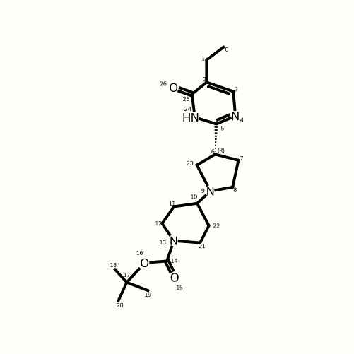 CCc1cnc([C@@H]2CCN(C3CCN(C(=O)OC(C)(C)C)CC3)C2)[nH]c1=O